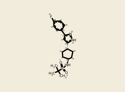 CC(C)(C)S(=O)(=O)N[C@H]1CC[C@H](c2cc(-c3ccc(F)cc3)n[nH]2)CC1